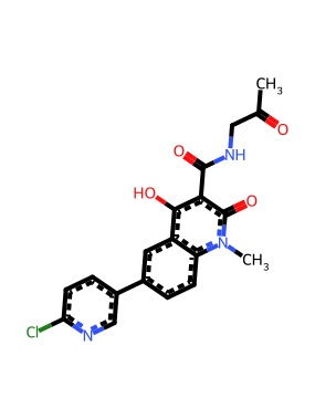 CC(=O)CNC(=O)c1c(O)c2cc(-c3ccc(Cl)nc3)ccc2n(C)c1=O